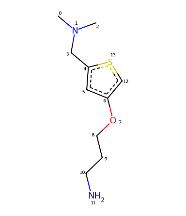 CN(C)Cc1cc(OCCCN)cs1